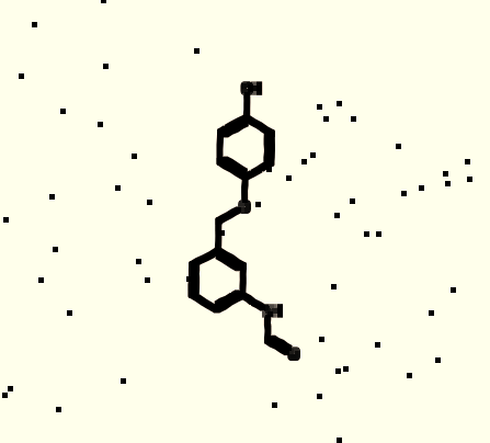 O=CNc1cccc(COc2ccc(O)cc2)c1